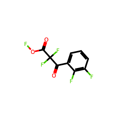 O=C(OF)C(F)(F)C(=O)c1cccc(F)c1F